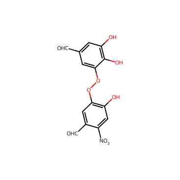 O=Cc1cc(O)c(O)c(OOc2cc(C=O)c([N+](=O)[O-])cc2O)c1